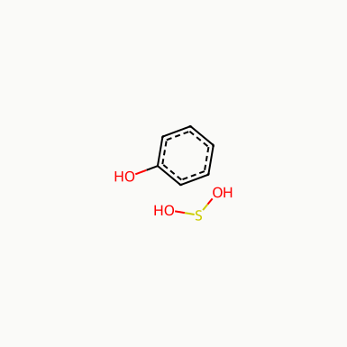 OSO.Oc1ccccc1